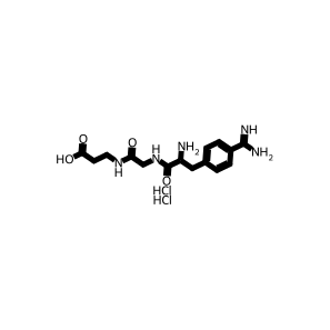 Cl.Cl.N=C(N)c1ccc(CC(N)C(=O)NCC(=O)NCCC(=O)O)cc1